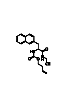 C=CCCOC(=O)NC(Cc1ccc2ccccc2c1)C(=O)NCC#N